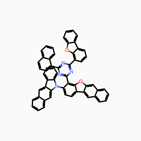 c1ccc2cc3c(cc2c1)oc1c(-c2nc(-c4cccc5ccccc45)nc(-c4cccc5c4oc4ccccc45)n2)c(-n2c4ccccc4c4cc5ccccc5cc42)ccc13